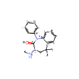 CNC1CC(C)(C)c2ccccc2N(c2ccccc2)C1=O